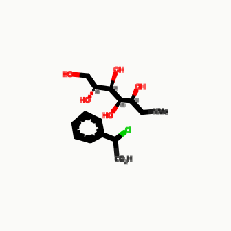 CNC[C@H](O)[C@@H](O)[C@H](O)[C@H](O)CO.O=C(O)C(Cl)c1ccccc1